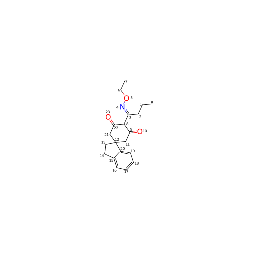 CCCC(=NOCC)C1C(=O)CC2(CCc3ccccc32)CC1=O